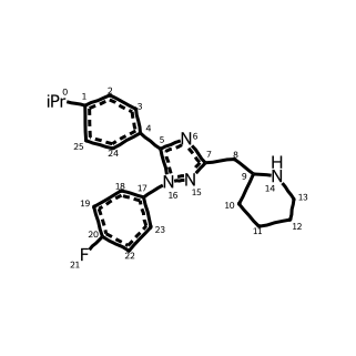 CC(C)c1ccc(-c2nc(CC3CCCCN3)nn2-c2ccc(F)cc2)cc1